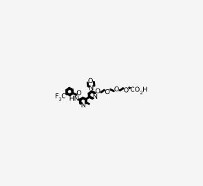 Cc1ncc(NC(=O)c2cccc(C(F)(F)F)c2)cc1-c1cnc(OCCOCCOCCOCC(=O)O)c(N2CCOCC2)c1